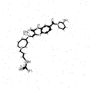 CN(/C=C1/Oc2ccc(C(=O)N3CCC[C@H](N)C3)cc2N/C1=N/C=O)C1CCCN(CCCNC(=N)N)CC1